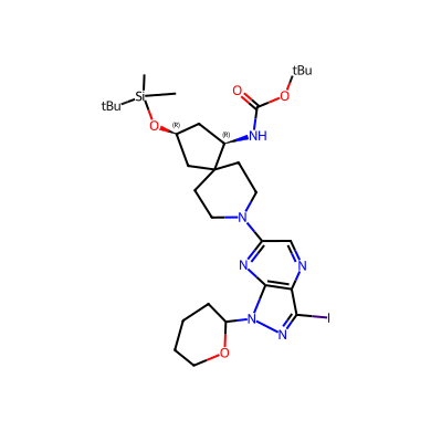 CC(C)(C)OC(=O)N[C@@H]1C[C@H](O[Si](C)(C)C(C)(C)C)CC12CCN(c1cnc3c(I)nn(C4CCCCO4)c3n1)CC2